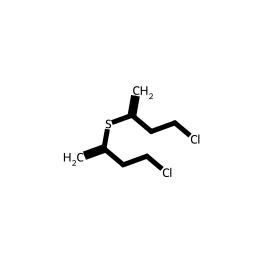 C=C(CCCl)SC(=C)CCCl